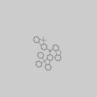 CC1(C)c2ccccc2-c2ccc(N(c3ccc4c(c3)C(c3ccccc3)(c3ccccc3)c3ccccc3-4)c3cccc4c3-c3ccccc3C4)cc21